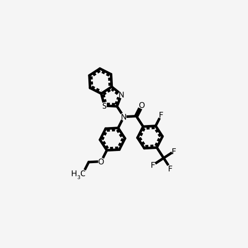 CCOc1ccc(N(C(=O)c2ccc(C(F)(F)F)cc2F)c2nc3ccccc3s2)cc1